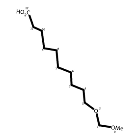 COCOCCCCCCCCCC(=O)O